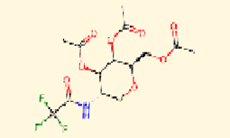 CC(=O)OC[C@H]1OC[C@H](NC(=O)C(F)(F)F)[C@@H](OC(C)=O)[C@H]1OC(C)=O